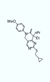 C=C1N(c2ccc(OC)cc2)Cc2cnc(SCC3CC3)nc2C1(CC)CCC